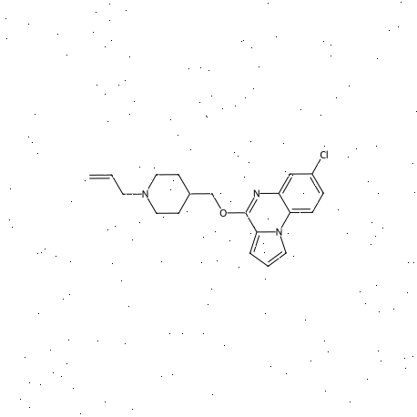 C=CCN1CCC(COc2nc3cc(Cl)ccc3n3cccc23)CC1